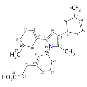 Cc1c(C2CC=CC(C(F)(F)F)C2)cc(C2=CCCC(C)C2)n1C1C=C(CCC(=O)O)CCC1